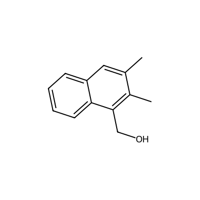 Cc1cc2ccccc2c(CO)c1C